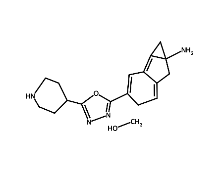 CO.NC12CC3=CCC(c4nnc(C5CCNCC5)o4)=CC3=C1C2